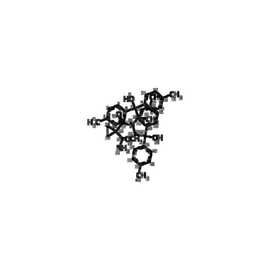 Cc1ccc(C(O)(c2ccc(C)cc2)[C@@H](C)N(C(=O)C2(C(N)=O)CC2)[C@H](C)C(O)(c2ccc(C)cc2)c2ccc(C)cc2)cc1